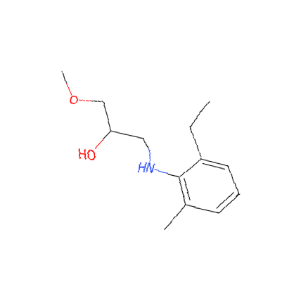 CCc1cccc(C)c1NCC(O)COC